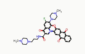 CN1CCN(CCCNC(=O)c2cn3c4cc5c(=O)c6ccccc6c(=O)c5cc4oc4c(N5CCN(C)CC5)c(F)cc(c2=O)c43)CC1